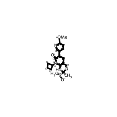 COc1ccc(-c2cc3c(n(C4CCC4)c2=O)NC(C)([S+](C)[O-])N=C3)cn1